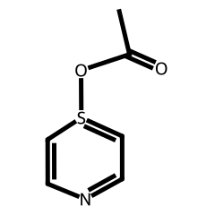 CC(=O)OS1=CC=NC=C1